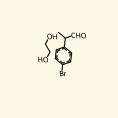 CC(C=O)c1ccc(Br)cc1.OCCO